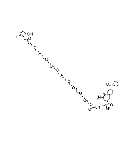 CCCN(CCCNC(=O)OCCOCCOCCOCCOCCOCCOCCOCCOCCOCCOCCNC(=O)CN1C(=O)C=CC1O)C(=O)C1=Cc2ccc(C(=O)N3CCCC3)cc2N=C(N)C1